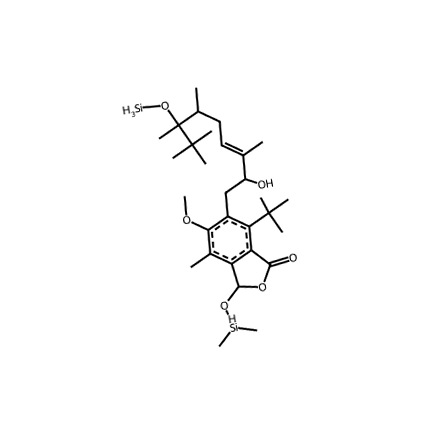 COc1c(C)c2c(c(C(C)(C)C)c1CC(O)C(C)=CCC(C)C(C)(O[SiH3])C(C)(C)C)C(=O)OC2O[SiH](C)C